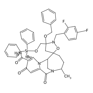 CC1CCC2(CC(CO[Si](c3ccccc3)(c3ccccc3)C(C)(C)C)(OCc3ccccc3)N(Cc3ccc(F)cc3F)O2)C2CN1C(=O)c1cc(=O)c(C(N)=O)cn12